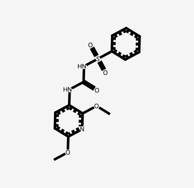 COc1ccc(NC(=O)NS(=O)(=O)c2ccccc2)c(OC)n1